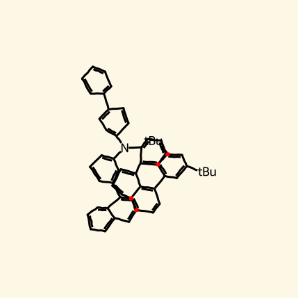 CC(C)(C)c1cc(-c2cccc3cccc(-c4ccccc4N(c4ccc(-c5ccccc5)cc4)c4cccc(-c5cccc6ccccc56)c4)c23)cc(C(C)(C)C)c1